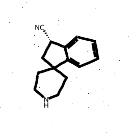 N#C[C@H]1CC2(CCNCC2)c2ccccc21